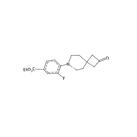 CCOC(=O)c1ccc(N2CCC3(CC2)CC(=O)C3)c(F)c1